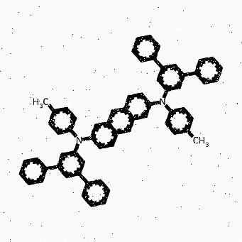 Cc1ccc(N(c2cc(-c3ccccc3)cc(-c3ccccc3)c2)c2ccc3cc4cc(N(c5ccc(C)cc5)c5cc(-c6ccccc6)cc(-c6ccccc6)c5)ccc4cc3c2)cc1